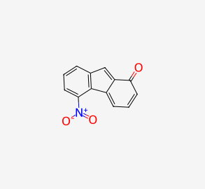 O=C1C=CC=C2C1=Cc1cccc([N+](=O)[O-])c12